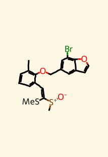 CS/C(=C\c1cccc(C)c1OCc1cc(Br)c2occc2c1)[S+](C)[O-]